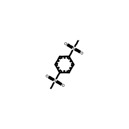 [CH2]S(=O)(=O)c1ccc(S(C)(=O)=O)cc1